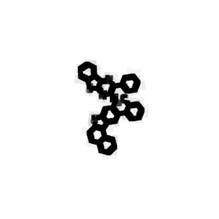 Cc1ccccc1-c1cc2c(cc1Cc1nc3sc4ccccc4c3nc1-c1ccccc1)sc1ccc3ccccc3c12